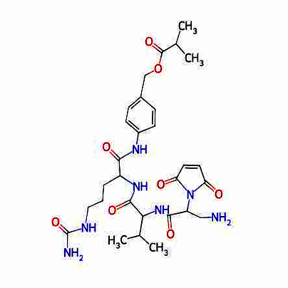 CC(C)C(=O)OCc1ccc(NC(=O)C(CCCNC(N)=O)NC(=O)C(NC(=O)C(CN)N2C(=O)C=CC2=O)C(C)C)cc1